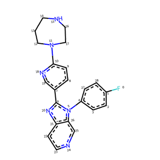 Fc1ccc(-n2c(-c3ccc(N4CCCNCC4)nc3)nc3ccncc32)cc1